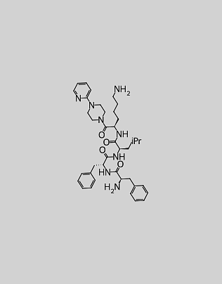 CC(C)C[C@@H](NC(=O)[C@@H](Cc1ccccc1)NC(=O)[C@H](N)Cc1ccccc1)C(=O)N[C@H](CCCCN)C(=O)N1CCN(c2ccccn2)CC1